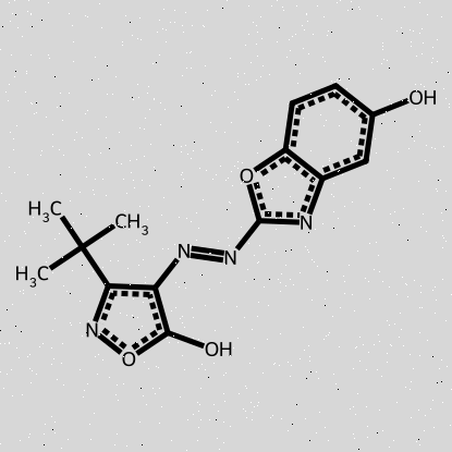 CC(C)(C)c1noc(O)c1N=Nc1nc2cc(O)ccc2o1